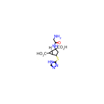 NCC(=O)NC1(C(=O)O)CC(Sc2nnc[nH]2)C2C(C(=O)O)[C@H]21